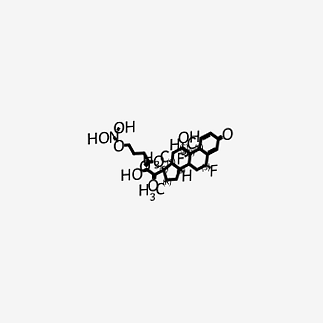 C[C@@H]1C[C@H]2C3C[C@H](F)C4=CC(=O)C=C[C@]4(C)[C@@]3(F)[C@@H](O)C[C@]2(C)[C@@]1(OC(=O)CCCON(O)O)C(=O)CO